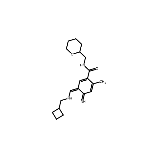 CC1=CC(=N)/C(=C\NCC2CCC2)C=C1C(=O)NCC1CCCCO1